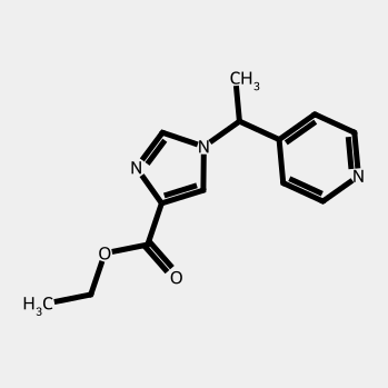 CCOC(=O)c1cn(C(C)c2ccncc2)cn1